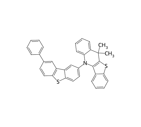 CC1(C)c2ccccc2N(c2ccc3sc4ccc(-c5ccccc5)cc4c3c2)c2c1sc1ccccc21